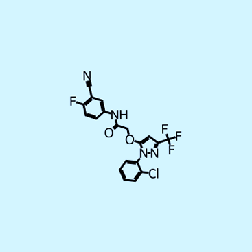 N#Cc1cc(NC(=O)COc2cc(C(F)(F)F)nn2-c2ccccc2Cl)ccc1F